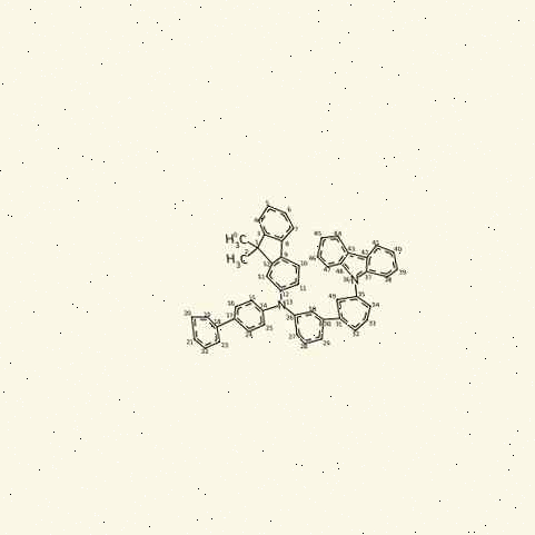 CC1(C)c2ccccc2-c2ccc(N(c3ccc(-c4ccccc4)cc3)c3cccc(-c4cccc(-n5c6ccccc6c6ccccc65)c4)c3)cc21